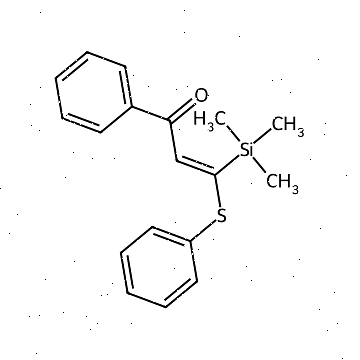 C[Si](C)(C)/C(=C\C(=O)c1ccccc1)Sc1ccccc1